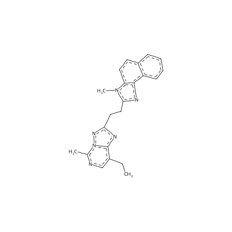 CCc1cnc(C)n2nc(CCc3nc4c5ccccc5ccc4n3C)nc12